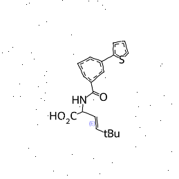 CC(C)(C)/C=C/C(NC(=O)c1cccc(-c2cccs2)c1)C(=O)O